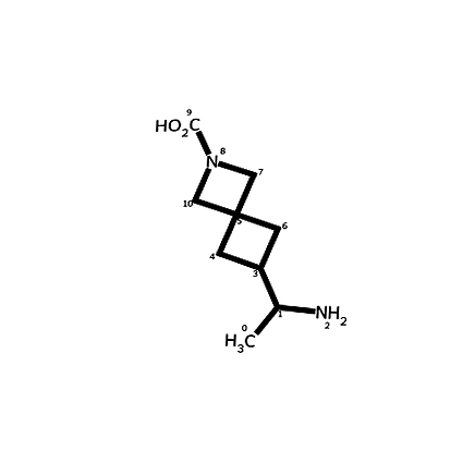 CC(N)C1CC2(C1)CN(C(=O)O)C2